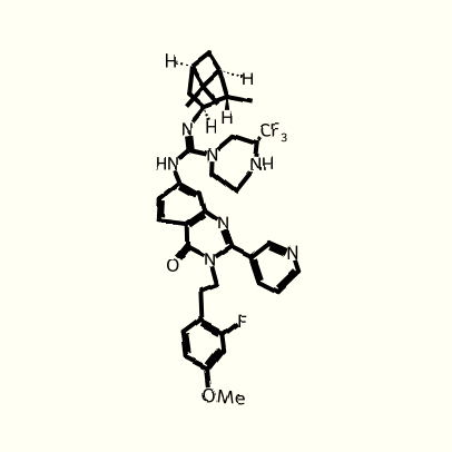 COc1ccc(CCn2c(-c3cccnc3)nc3cc(N/C(=N/[C@H]4C[C@H]5C[C@@H]([C@@H]4C)C5(C)C)N4CCN[C@@H](C(F)(F)F)C4)ccc3c2=O)c(F)c1